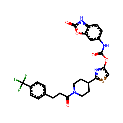 O=C(Nc1ccc2[nH]c(=O)oc2c1)Oc1csc(C2CCN(C(=O)CCc3ccc(C(F)(F)F)cc3)CC2)n1